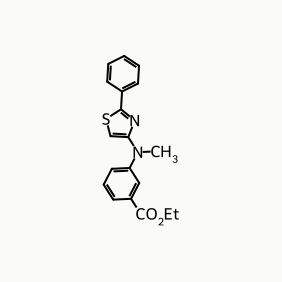 CCOC(=O)c1cccc(N(C)c2csc(-c3ccccc3)n2)c1